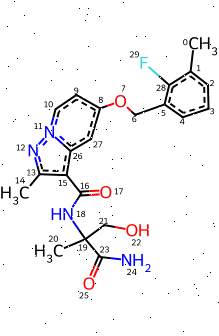 Cc1cccc(COc2ccn3nc(C)c(C(=O)NC(C)(CO)C(N)=O)c3c2)c1F